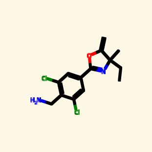 C=C1OC(c2cc(Cl)c(CN)c(Cl)c2)=NC1(C)CC